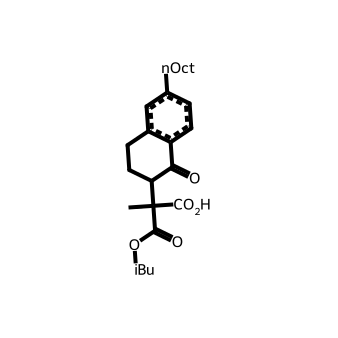 CCCCCCCCc1ccc2c(c1)CCC(C(C)(C(=O)O)C(=O)OC(C)CC)C2=O